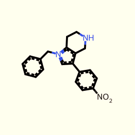 O=[N+]([O-])c1ccc(-c2cn(Cc3ccccc3)c3c2CNCC3)cc1